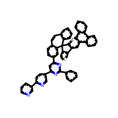 C1=Cc2ccc(-c3cc(-c4ccc(-c5cccnc5)nc4)nc(-c4ccccc4)n3)cc2C2(c3ccccc31)c1ccccc1-c1cc3c4ccccc4c4ccccc4c3cc12